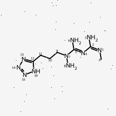 C/N=C(N)\N=C(/N)N(N)CCCc1nnn[nH]1